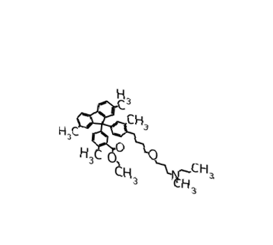 CCCN(C)CCCOCCCCc1ccc(C2(c3ccc(C)c(C(=O)OCC)c3)c3cc(C)ccc3-c3ccc(C)cc32)cc1C